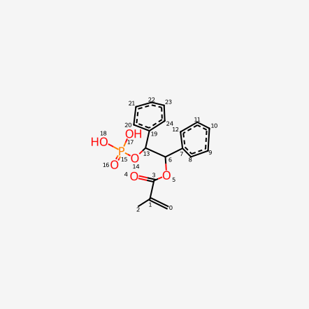 C=C(C)C(=O)OC(c1ccccc1)C(OP(=O)(O)O)c1ccccc1